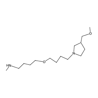 CNCCCCOCCCCN1CCC(COC)C1